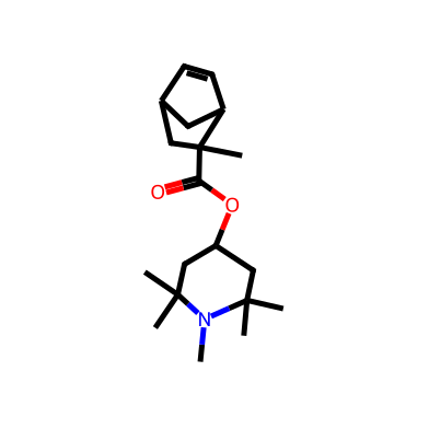 CN1C(C)(C)CC(OC(=O)C2(C)CC3C=CC2C3)CC1(C)C